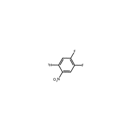 [2H]c1cc(F)c(F)cc1[N+](=O)[O-]